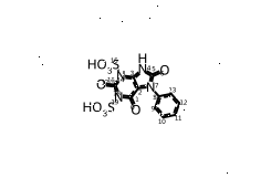 O=c1c2c([nH]c(=O)n2-c2ccccc2)n(S(=O)(=O)O)c(=O)n1S(=O)(=O)O